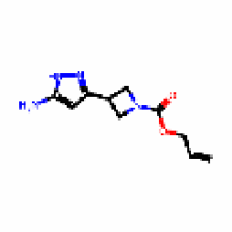 C=CCOC(=O)N1CC(c2cc(N)[nH]n2)C1